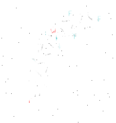 CCCOC1CCC(c2ccc(-c3cc(F)c(C(F)(F)Oc4cc(F)c(-c5ccc(F)cc5)c(F)c4)c(F)c3)c(F)c2)CC1